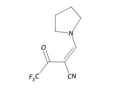 N#CC(=CN1CCCC1)C(=O)C(F)(F)F